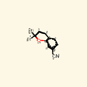 CCC1(CC)C[C]c2ccc(C#N)cc2O1